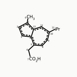 Cc1ccc2c(CC(=O)O)ccc(C(C)C)cc1-2